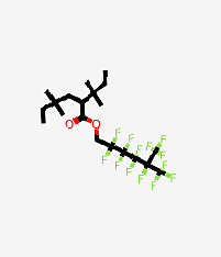 CCC(C)(C)CC(C(=O)OCC(F)(F)C(F)(F)C(F)(F)C(F)(C(F)(F)F)C(F)(F)F)C(C)(C)CC